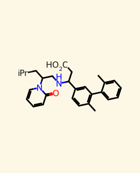 Cc1ccccc1-c1cc(C(CC(=O)O)NCC(CC(C)C)n2ccccc2=O)ccc1C